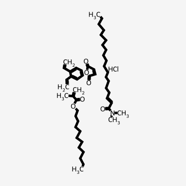 C=C(C)C(=O)OCCCCCCCCCCCC.C=Cc1ccccc1C=C.CCCCCCCCCCCCCCCCC=CC(=O)N(C)C.Cl.O=C1C=CC(=O)O1